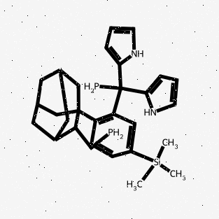 C[Si](C)(C)c1ccc(C23CC4CC(CC(C4)C2CP)C3)c(C(P)(c2ccc[nH]2)c2ccc[nH]2)c1